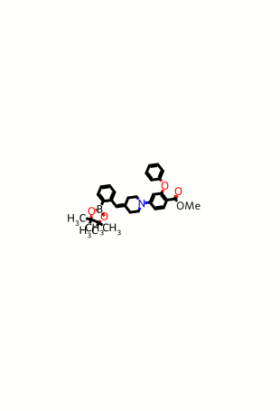 COC(=O)c1ccc(N2CCC(=Cc3ccccc3B3OC(C)(C)C(C)(C)O3)CC2)cc1Oc1ccccc1